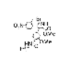 COC(=O)c1[nH]c(Br)c(-c2ccc([N+](=O)[O-])cc2C)c1-c1ccc(C(=O)NCC(C)(C)F)c(OC)c1